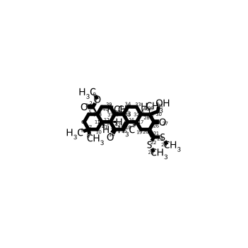 COC(=O)[C@]12CCC(C)(C)C[C@H]1[C@H]1C(=O)C=C3[C@@]4(C)CC(=C(SC)SC)C(=O)[C@](C)(CO)[C@@H]4CC[C@@]3(C)[C@]1(C)CC2